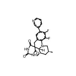 C[C@H]1C[C@@H](C)[C@H]2N(C1)c1c(cc(-c3cccnc3)c(F)c1F)CC21C(=O)NC(=O)NC1=O